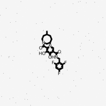 CC1CCC2CN(CC1)C(=O)c1c(O)c(=O)c(C(=O)NCc3c(F)cc(F)cc3F)cn12